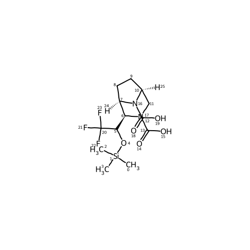 C[Si](C)(C)OC([C@H]1[C@H]2CC[C@@H](CN1C(=O)O)N2C(=O)O)C(F)(F)F